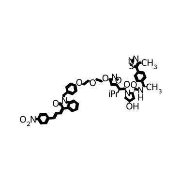 Cc1nnsc1-c1ccc([C@H](C)NC(=O)[C@@H]2C[C@@H](O)CN2C(=O)[C@H](c2cc(OCCOCCOc3ccc(CN4C(=O)/C(=C\C=C\c5ccc([N+](=O)[O-])cc5)c5ccccc54)cc3)no2)C(C)C)cc1